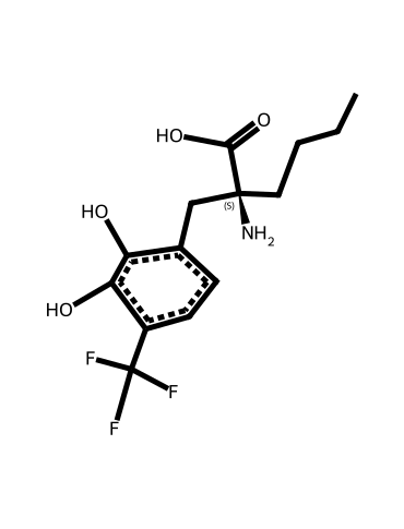 CCCC[C@](N)(Cc1ccc(C(F)(F)F)c(O)c1O)C(=O)O